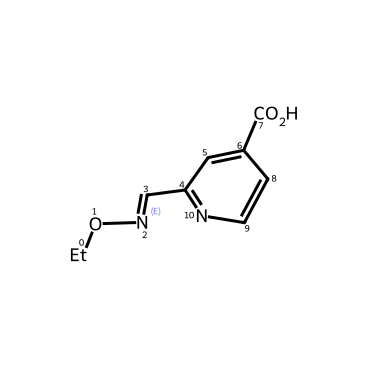 CCO/N=C/c1cc(C(=O)O)ccn1